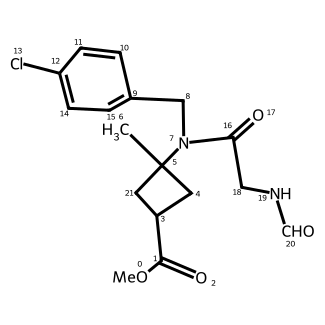 COC(=O)C1CC(C)(N(Cc2ccc(Cl)cc2)C(=O)CNC=O)C1